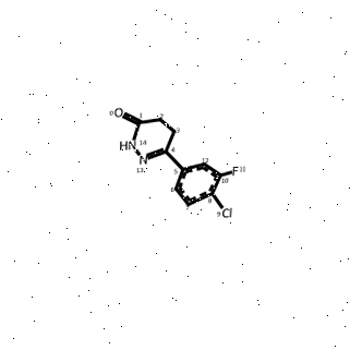 O=C1CCC(c2ccc(Cl)c(F)c2)=NN1